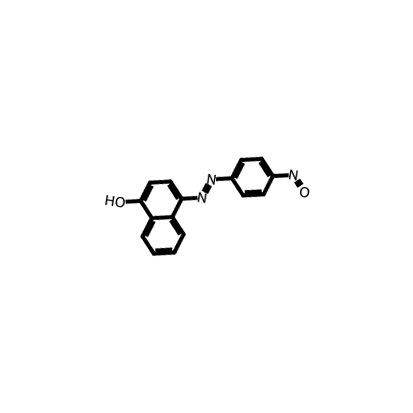 O=Nc1ccc(N=Nc2ccc(O)c3ccccc23)cc1